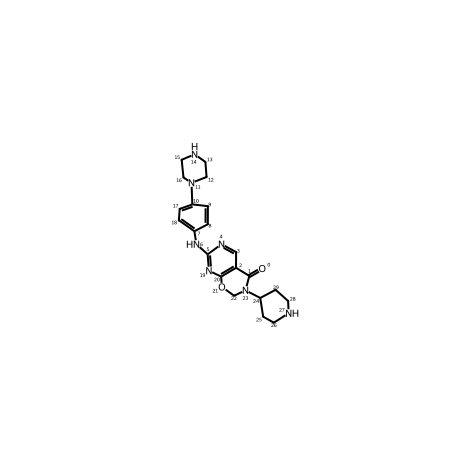 O=C1c2cnc(Nc3ccc(N4CCNCC4)cc3)nc2OCN1C1CCNCC1